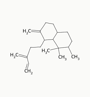 C=CC(=C)CCC1C(=C)CCC2CCC(C)C(C)(C)C21